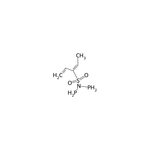 C=C/C(=C\C)S(=O)(=O)N(P)P